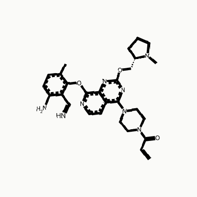 C=CC(=O)N1CCN(c2nc(OC[C@@H]3CCCN3C)nc3c(Oc4c(C)ccc(N)c4C=N)nccc23)CC1